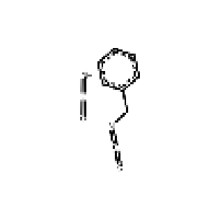 N=C=O.O=C=NCc1ccccc1